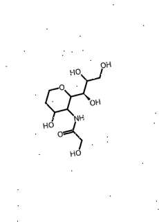 O=C(CO)NC1C(O)CCOC1[C@H](O)C(O)CO